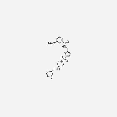 COc1cccc(C(=O)NCc2ccc(S(=O)(=O)N3CCC(NCc4cccc(C)c4)CC3)s2)c1